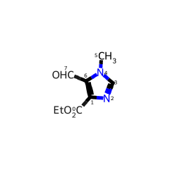 CCOC(=O)c1ncn(C)c1C=O